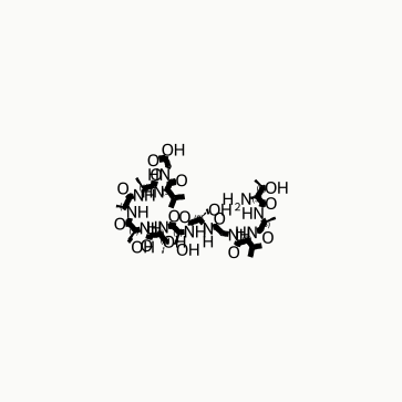 CC(C)[C@H](NC(=O)[C@H](C)NC(=O)[C@H](C)NC(=O)[C@H](CO)NC(=O)[C@@H](NC(=O)[C@H](CO)NC(=O)[C@H](CO)NC(=O)CNC(=O)[C@@H](NC(=O)[C@H](C)NC(=O)[C@@H](N)[C@@H](C)O)C(C)C)[C@@H](C)O)C(=O)NCC(=O)O